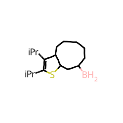 BC1CCCCCC2C(C(C)C)=C(C(C)C)SC2C1